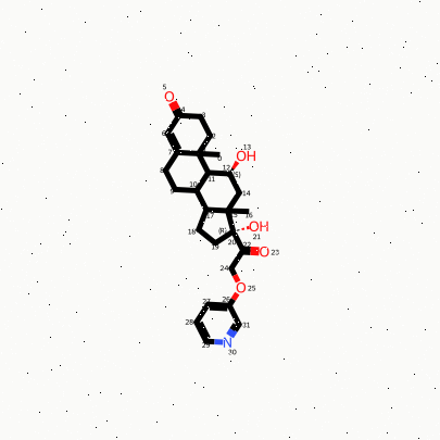 CC12CCC(=O)C=C1CCC1C2[C@@H](O)CC2(C)C1CC[C@]2(O)C(=O)COc1cccnc1